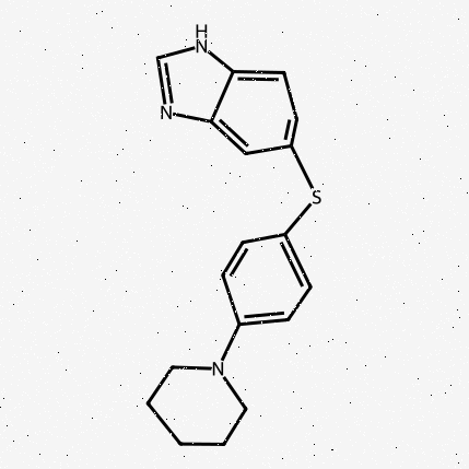 c1nc2cc(Sc3ccc(N4CCCCC4)cc3)ccc2[nH]1